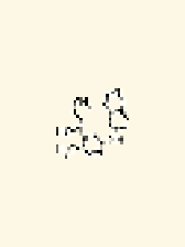 CCCN(O)c1cc(Nc2ccc3cnccc3c2)ncc1C